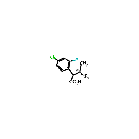 C[C@H](C(C(=O)O)c1ccc(Cl)cc1F)C(F)(F)F